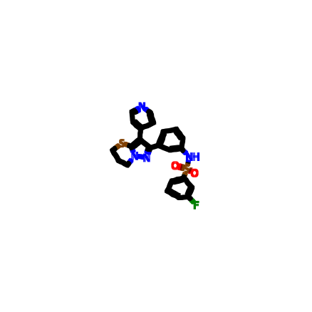 O=S(=O)(Nc1cccc(-c2nn3c(c2-c2ccncc2)SCCC3)c1)c1cccc(F)c1